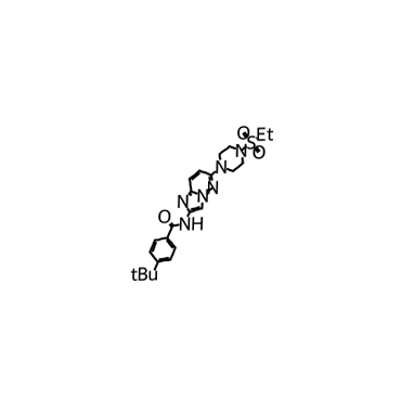 CCS(=O)(=O)N1CCN(c2ccc3nc(NC(=O)c4ccc(C(C)(C)C)cc4)cn3n2)CC1